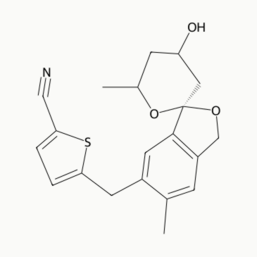 Cc1cc2c(cc1Cc1ccc(C#N)s1)[C@]1(CC(O)CC(C)O1)OC2